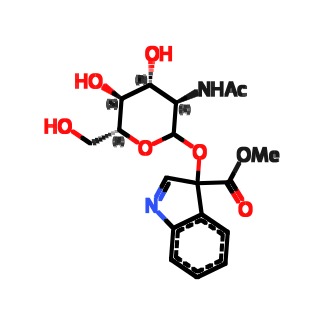 COC(=O)C1(OC2O[C@H](CO)[C@@H](O)[C@H](O)[C@H]2NC(C)=O)C=Nc2ccccc21